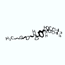 CCCCOCCOCCNC(=O)c1ccc(CNC(=O)OC(C)(C)C)cc1